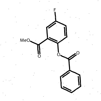 COC(=O)c1cc(F)ccc1OC(=O)c1ccccc1